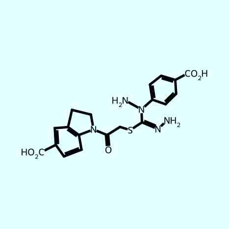 N/N=C(/SCC(=O)N1CCc2cc(C(=O)O)ccc21)N(N)c1ccc(C(=O)O)cc1